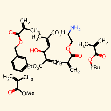 C=C(C(=O)OCC)C(O)C=C(C)C(=O)O.C=C(C(=O)OCCN)C(C)C.C=C(C)C(=O)OC.C=C(C)C(=O)OCCCC.C=C(C)C(=O)OCc1ccccc1